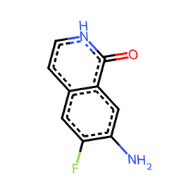 Nc1cc2c(=O)[nH]ccc2cc1F